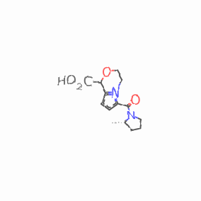 C[C@H]1CCCN1C(=O)c1ccc2n1CCOC2C(=O)O